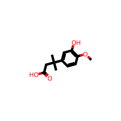 COc1ccc(C(C)(C)CC(=O)O)cc1O